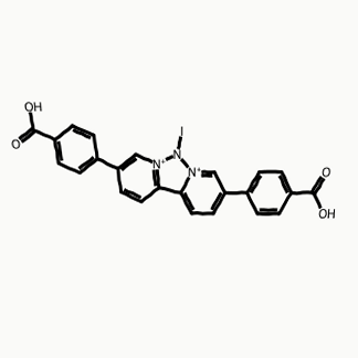 O=C(O)c1ccc(-c2ccc3c4ccc(-c5ccc(C(=O)O)cc5)c[n+]4n(I)[n+]3c2)cc1